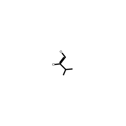 CC(C)C(Cl)=C[O]